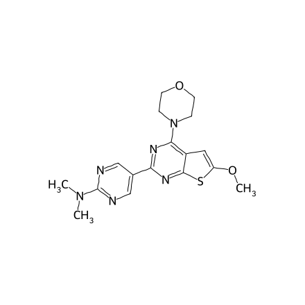 COc1cc2c(N3CCOCC3)nc(-c3cnc(N(C)C)nc3)nc2s1